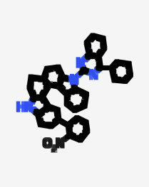 O=[N+]([O-])c1ccccc1-c1ccc2[nH]c3ccc4ccc5c(c6ccccc6n5-c5nc(-c6ccccc6)c6ccccc6n5)c4c3c2c1